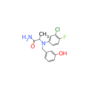 CC(C(N)=O)N(Cc1cccc(O)c1)c1ccc(F)c(Cl)c1